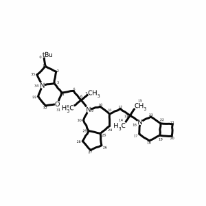 CC(C)(C)C1CC2C(CC(C)(C)N3CC(CC(C)(C)N4CCC5CCC5C4)CC4CCCC4C3)OCCN2C1